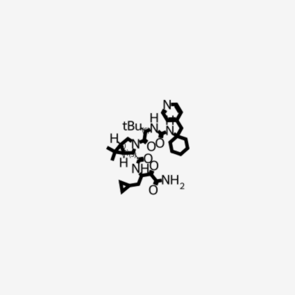 CC(C)(C)[C@H](NC(=O)NC1(Cc2ccncc2)CCCCC1)C(=O)N1C[C@H]2[C@@H]([C@H]1C(=O)NC(CC1CC1)C(=O)C(N)=O)C2(C)C